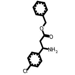 NC(CC(=O)OCc1ccccc1)c1ccc(Cl)cc1